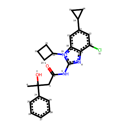 CC(O)(CC(=O)Nc1nc2c(Cl)cc(C3CC3)cc2n1C1CCC1)c1ccccc1